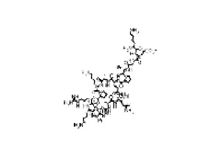 CC(C)[C@H](NC(=O)[C@H](CCCCN)NC(=O)[C@H](CCCNC(=N)N)NC(=O)[C@@H]1CCCN1C(=O)[C@H](CCCCN)NC(=O)[C@H](C)NC(=O)[C@H](CCC(N)=O)NC(=O)[C@@H]1CCCN1C(=O)[C@@H](NC(=O)CNC(=O)[C@H](CCC(=O)O)NC(=O)[C@@H](N)CCCCN)C(C)C)C(=O)N[C@@H](C)C(=O)N[C@@H](C)C(=O)N[C@@H](CCC(N)=O)C(=O)O